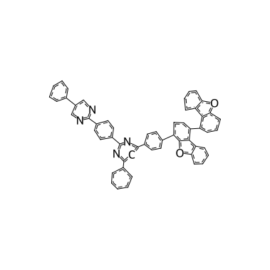 c1ccc(-c2cnc(-c3ccc(-c4nc(-c5ccccc5)cc(-c5ccc(-c6ccc(-c7cccc8oc9ccccc9c78)c7c6oc6ccccc67)cc5)n4)cc3)nc2)cc1